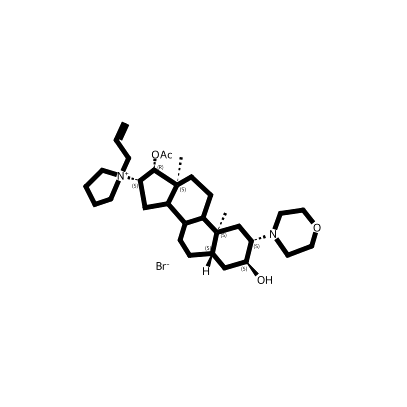 C=CC[N+]1([C@H]2CC3C4CC[C@H]5C[C@H](O)[C@@H](N6CCOCC6)C[C@]5(C)C4CC[C@]3(C)[C@H]2OC(C)=O)CCCC1.[Br-]